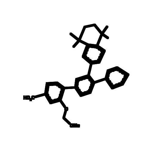 COCOc1cc(C(=O)O)ccc1-c1ccc(-c2ccccc2)c(-c2ccc3c(c2)C(C)(C)CCC3(C)C)c1